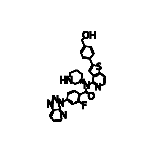 O=C(c1ccc(-n2nnc3cccnc32)cc1F)N(c1nccc2sc(-c3ccc(CO)cc3)cc12)[C@@H]1CCCNC1